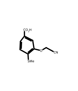 CSc1ccc(C(=O)O)cc1OCC#N